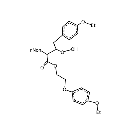 CCCCCCCCCC(C(=O)OCCOc1ccc(OCC)cc1)C(Cc1ccc(OCC)cc1)OO